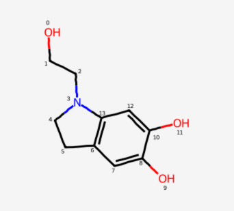 OCCN1CCc2cc(O)c(O)cc21